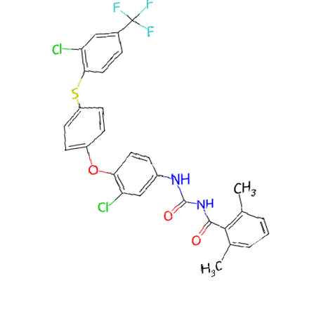 Cc1cccc(C)c1C(=O)NC(=O)Nc1ccc(Oc2ccc(Sc3ccc(C(F)(F)F)cc3Cl)cc2)c(Cl)c1